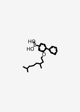 CC(C)CCCC(C)CCOc1cc(B(O)O)ccc1-c1ccccc1